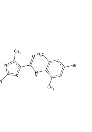 Cc1cc(Br)cc(C)c1NC(=O)c1sc(N)nc1C